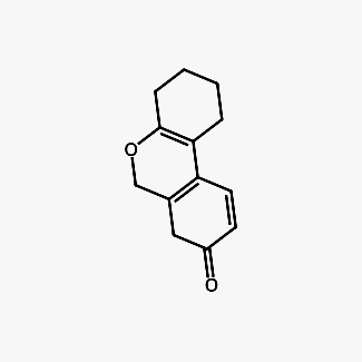 O=C1C=CC2=C(COC3=C2CCCC3)C1